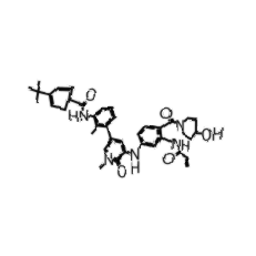 C=CC(=O)Nc1cc(Nc2cc(-c3cccc(NC(=O)C4C=CC(C(C)(C)C)=CC4)c3C)cn(C)c2=O)ccc1C(=O)N1CCC(O)CC1